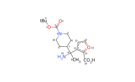 CC(C)(C)OC(=O)N1CCC(C(C)(N)c2ccoc2C(=O)O)CC1